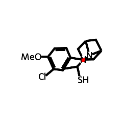 COc1ccc(CN2C3CC2CN(C(C)S)C3)cc1Cl